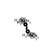 C[Si](C)(C)O[Si](C)(C)c1ccc(C=Cc2ccc([Si](C)(C)O[Si](C)(C)C)cc2)cc1